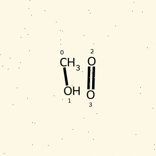 CO.O=O